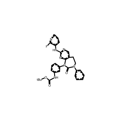 CC(C)(C)OC(=O)Nc1cccc(N2C(=O)N(c3ccccc3)CCc3cnc(Nc4cccnc4F)nc32)c1